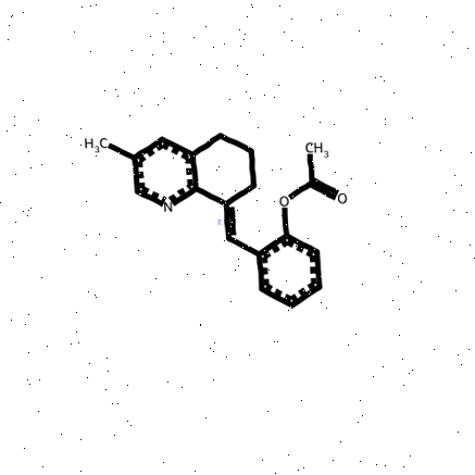 CC(=O)Oc1ccccc1/C=C1\CCCc2cc(C)cnc21